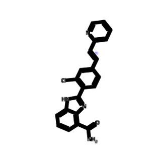 NC(=O)c1cccc2[nH]c(-c3ccc(/C=C/c4ccccn4)cc3Cl)nc12